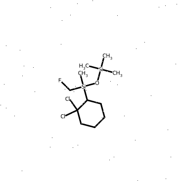 C[Si](C)(C)O[Si](C)(CF)C1CCCCC1(Cl)Cl